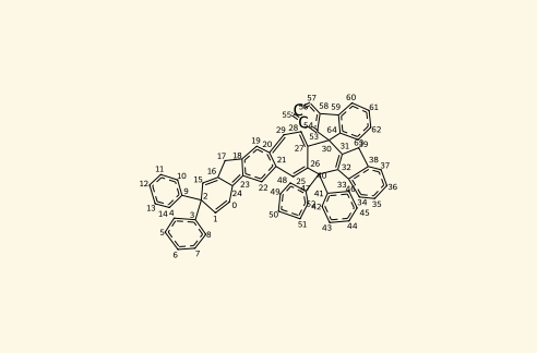 C1=CC(c2ccccc2)(c2ccccc2)C=C2Cc3cc4c(cc3=C12)C=C1C(=CC=4)C2(C3=C(c4ccccc4C3)C1(c1ccccc1)c1ccccc1)c1ccccc1-c1ccccc12